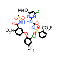 CCOC(=O)c1ccccc1S(=O)(=O)NC(=O)Nc1nc(Cl)cc(OC)n1.CS(=O)(=O)NC(=O)c1cc(Oc2ccc(C(F)(F)F)cc2Cl)ccc1[N+](=O)[O-]